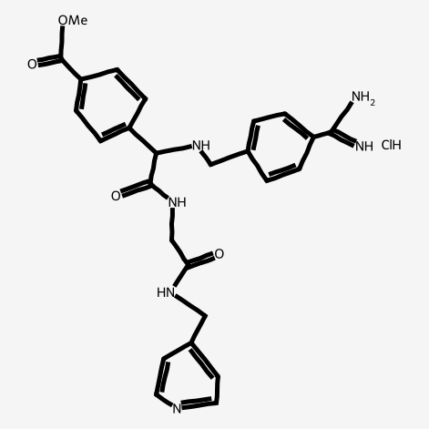 COC(=O)c1ccc(C(NCc2ccc(C(=N)N)cc2)C(=O)NCC(=O)NCc2ccncc2)cc1.Cl